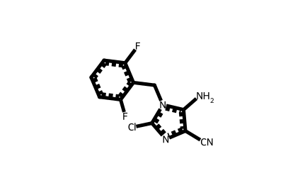 N#Cc1nc(Cl)n(Cc2c(F)cccc2F)c1N